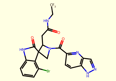 O=C(CC1N(C(=O)c2ccc3[nH]ncc3n2)CC12C(=O)Nc1cccc(Br)c12)NCC(F)(F)F